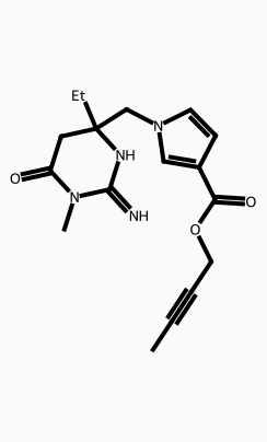 CC#CCOC(=O)c1ccn(CC2(CC)CC(=O)N(C)C(=N)N2)c1